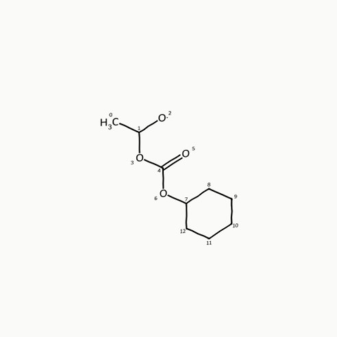 CC([O])OC(=O)OC1CCCCC1